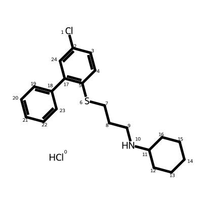 Cl.Clc1ccc(SCCCNC2CCCCC2)c(-c2ccccc2)c1